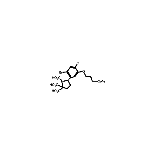 COCCCOc1cc([C@H]2CCC(C(=O)O)(C(=O)O)N2C(=O)O)c(Br)cc1Cl